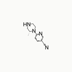 C[C@@H]1CNCCN1c1ccc(C#N)cn1